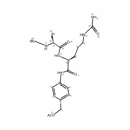 CC(=O)OCc1ccc(NC(=O)[C@H](CCCNC(N)=O)NC(=O)[C@@H](NC(C)(C)C)C(C)C)cc1